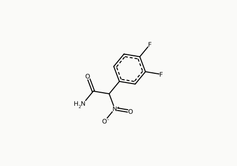 NC(=O)C(c1ccc(F)c(F)c1)[N+](=O)[O-]